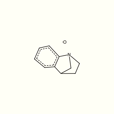 [O].c1ccc2c(c1)C1CCN2C1